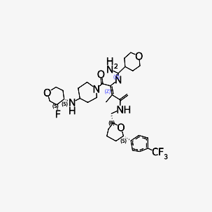 C=C(NC[C@H]1CCC[C@@H](c2ccc(C(F)(F)F)cc2)O1)/C(C)=C(\N=C(/N)C1CCOCC1)C(=O)N1CCC(N[C@H]2CCOC[C@H]2F)CC1